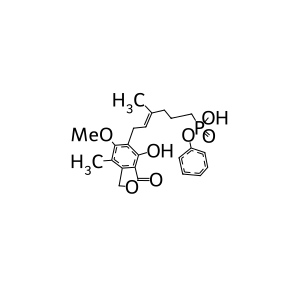 COc1c(C)c2c(c(O)c1C/C=C(\C)CCCP(=O)(O)Oc1ccccc1)C(=O)OC2